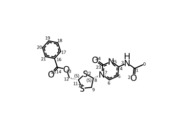 CC(=O)Nc1ccn([C@@H]2CS[C@H](COC(=O)c3ccccc3)S2)c(=O)n1